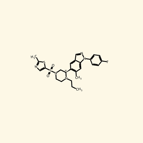 CCCN1CCN(S(=O)(=O)c2cnc(C)s2)C[C@H]1c1cc2cnn(-c3ccc(F)cc3)c2cc1C